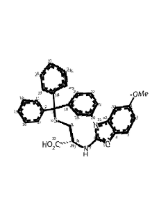 COc1ccc2oc(N[C@@H](CSC(c3ccccc3)(c3ccccc3)c3ccccc3)C(=O)O)nc2c1